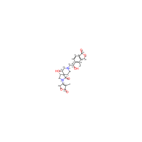 CC1=C(N2CCC3(CCN(C[C@H](O)c4ccc5c(c4C)COC5=O)CC3O)C2=O)COC1=O